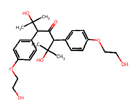 CC(C)(O)C(C(=O)C(c1ccc(OCCO)cc1)C(C)(C)O)c1ccc(OCCO)cc1